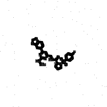 CCCCNc1nc(CNC(=O)[C@@H]2CCCN2S(=O)(=O)c2ccc(F)cc2)cc(-c2ccc3c(c2)OCO3)n1